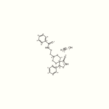 Cl.Cl.O.O=C(NCCN1CCC2(CC1)C(=O)NCN2c1ccccc1)c1ccccn1